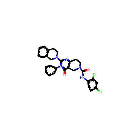 O=C(Nc1ccc(Cl)cc1Cl)N1CCc2nc(N3CCc4ccccc4C3)n(-c3ccccc3)c(=O)c2C1